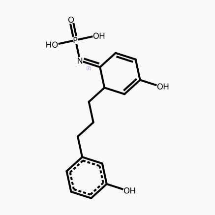 O=P(O)(O)/N=C1\C=CC(O)=CC1CCCc1cccc(O)c1